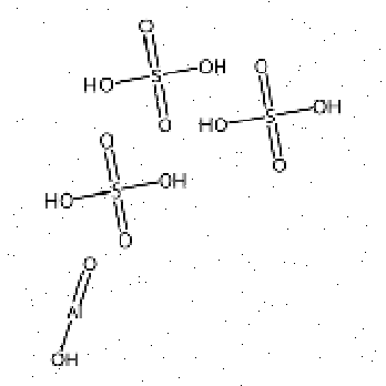 O=S(=O)(O)O.O=S(=O)(O)O.O=S(=O)(O)O.[O]=[Al][OH]